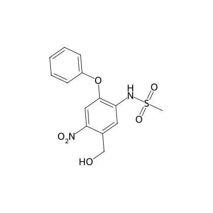 CS(=O)(=O)Nc1cc(CO)c([N+](=O)[O-])cc1Oc1ccccc1